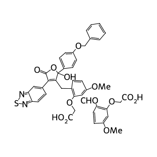 COc1ccc(C=O)c(OCC(=O)O)c1.COc1ccc(CC2=C(c3ccc4nsnc4c3)C(=O)OC2(O)c2ccc(OCc3ccccc3)cc2)c(OCC(=O)O)c1